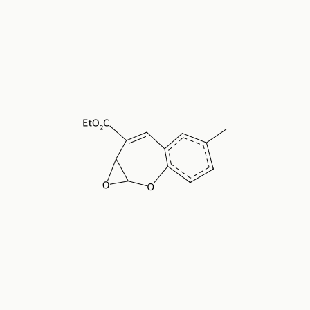 CCOC(=O)C1=Cc2cc(C)ccc2OC2OC12